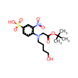 CC(C)(C)OC(=O)CN(CCCCO)c1ccc(S(=O)(=O)O)cc1[N+](=O)[O-]